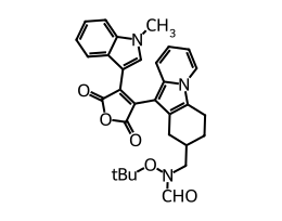 Cn1cc(C2=C(c3c4c(n5ccccc35)CCC(CN(C=O)OC(C)(C)C)C4)C(=O)OC2=O)c2ccccc21